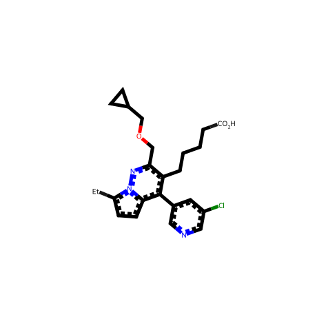 CCc1ccc2c(-c3cncc(Cl)c3)c(CCCCC(=O)O)c(COCC3CC3)nn12